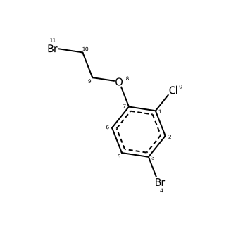 Clc1cc(Br)ccc1OCCBr